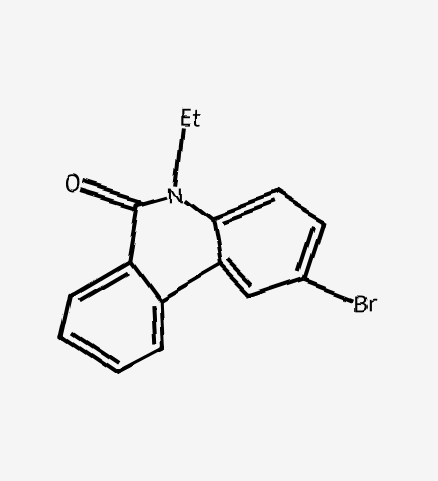 CCn1c(=O)c2ccccc2c2cc(Br)ccc21